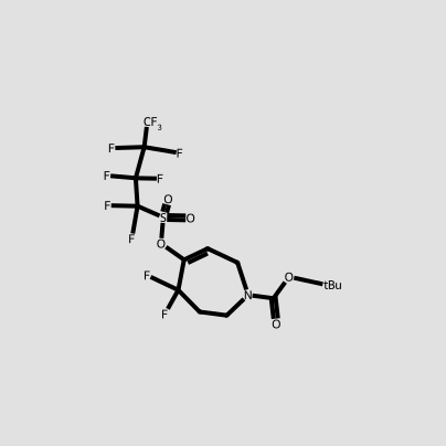 CC(C)(C)OC(=O)N1CC=C(OS(=O)(=O)C(F)(F)C(F)(F)C(F)(F)C(F)(F)F)C(F)(F)CC1